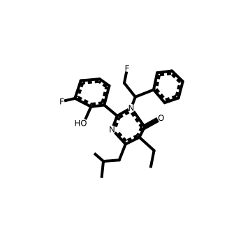 CCc1c(CC(C)C)nc(-c2cccc(F)c2O)n(C(CF)c2ccccc2)c1=O